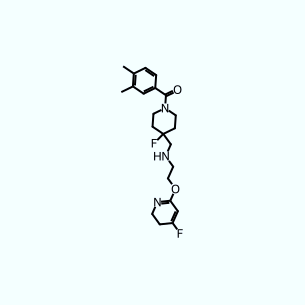 Cc1ccc(C(=O)N2CCC(F)(CNCCOC3=NCCC(F)=C3)CC2)cc1C